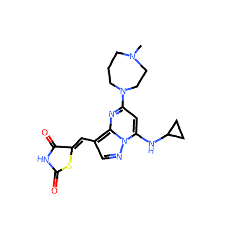 CN1CCCN(c2cc(NC3CC3)n3ncc(C=C4SC(=O)NC4=O)c3n2)CC1